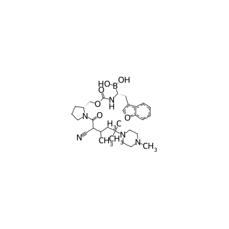 CC(CC(C)(C)N1CCN(C)CC1)C(C#N)C(=O)N1CCC[C@@H]1COC(=O)N[C@@H](Cc1coc2ccccc12)B(O)O